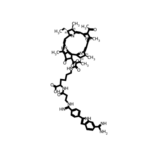 CC[C@H]1c2cc3[nH]c4c(c3C)C(=O)C(C(=O)OC)c4c3nc(cc4[nH]c(cc(n2)[C@@H]1C)c(C(C)=O)c4C)[C@@H](C)[C@@H]3CCC(=O)NCCCCC(NC(=O)CCNC(=N)c1ccc(-c2cc3ccc(C(=N)N)cc3[nH]2)cc1)C(=O)O